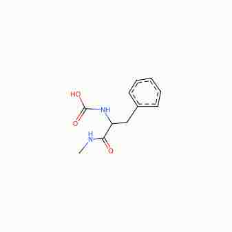 CNC(=O)C(Cc1ccccc1)NC(=O)O